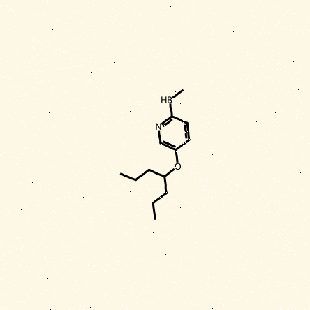 CBc1ccc(OC(CCC)CCC)cn1